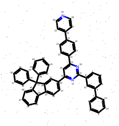 c1ccc(-c2cccc(-c3nc(-c4ccc(-c5ccncc5)cc4)cc(-c4ccc5c(c4)C(c4ccccc4)(c4ccccc4)c4ccccc4-5)n3)c2)cc1